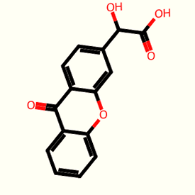 O=C(O)C(O)c1ccc2c(=O)c3ccccc3oc2c1